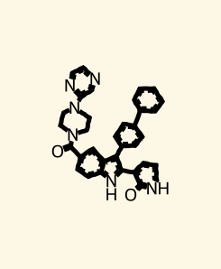 O=C(c1ccc2[nH]c(-c3ccc[nH]c3=O)c(-c3ccc(-c4ccccc4)cc3)c2c1)N1CCN(c2cnccn2)CC1